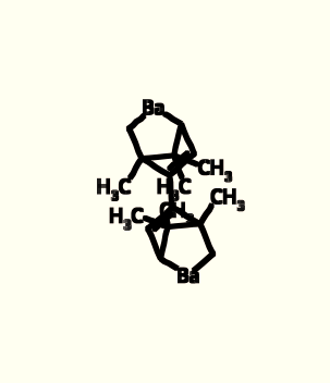 CC12[CH2][Ba][CH](C=C1C1=C[CH]3[Ba][CH2]C1(C)C3(C)C)C2(C)C